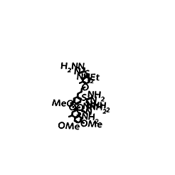 CCc1cc(OCCCc2cc(OC)c(S(=O)(=O)CCC(C)c3cc(OC)c(OC)cc3Sc3cnc(N)nc3N)cc2Sc2cnc(N)nc2N)c(C)cc1Sc1cnc(N)nc1N